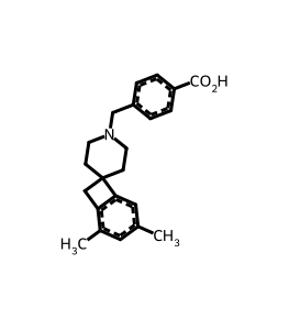 Cc1cc(C)c2c(c1)C1(CCN(Cc3ccc(C(=O)O)cc3)CC1)C2